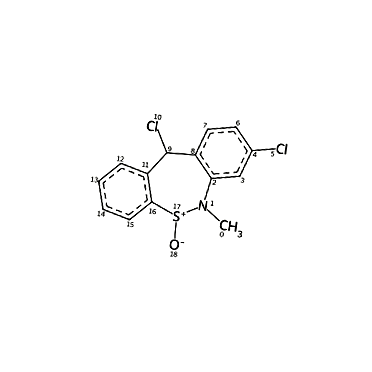 CN1c2cc(Cl)ccc2C(Cl)c2ccccc2[S+]1[O-]